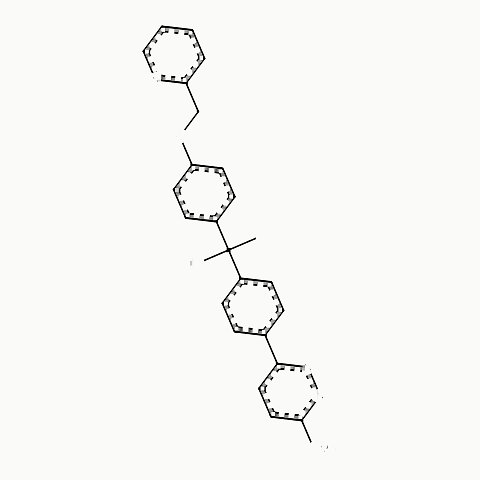 COc1ccc(-c2ccc(C(C)(c3ccc(OCc4ccccn4)cc3)C(C)C)cc2)nn1